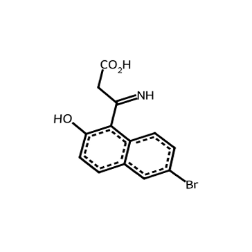 N=C(CC(=O)O)c1c(O)ccc2cc(Br)ccc12